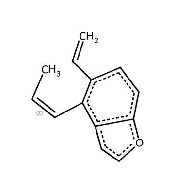 C=Cc1ccc2occc2c1/C=C\C